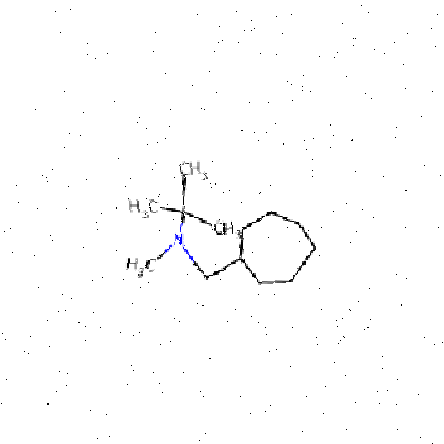 CN(CC1CCCCCC1)C(C)(C)C